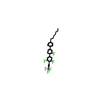 CCCCCCCc1ccc(-c2ccc(-c3cc(F)c(C#CC(F)(F)F)c(F)c3)c(F)c2)cc1